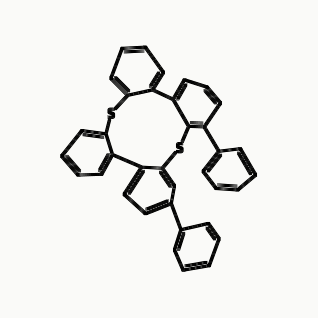 c1ccc(-c2ccc3c(c2)Sc2c(-c4ccccc4)cccc2-c2ccccc2Sc2ccccc2-3)cc1